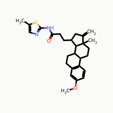 C=C1CC(CCC(=O)Nc2ncc(C)s2)C2C3CCc4cc(OC)ccc4C3CCC12C